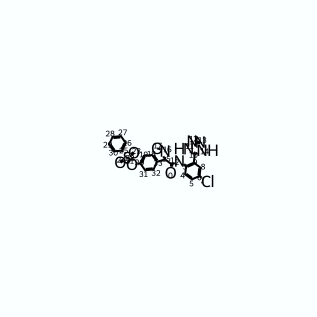 O=C(Nc1ccc(Cl)cc1-c1nnn[nH]1)c1noc2cc(OS(=O)(=O)c3ccccc3)ccc12